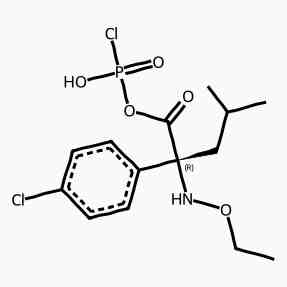 CCON[C@@](CC(C)C)(C(=O)OP(=O)(O)Cl)c1ccc(Cl)cc1